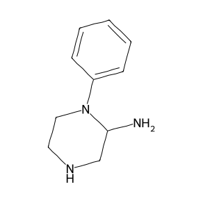 NC1CNCCN1c1ccccc1